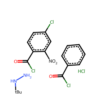 CC(C)(C)NN.Cl.O=C(Cl)c1ccc(Cl)cc1[N+](=O)[O-].O=C(Cl)c1ccccc1